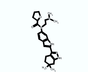 CN(C)CCN(C(=O)C1CCCO1)c1ccc2cc(-c3n[nH]c4c3CCC(C)(C)C4)[nH]c2c1